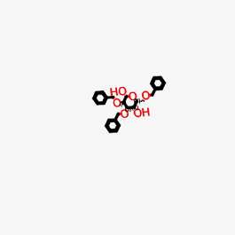 OC1O[C@H](COCc2ccccc2)[C@@H](O)[C@H](OCc2ccccc2)[C@H]1OCc1ccccc1